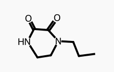 CCCN1CCNC(=O)C1=O